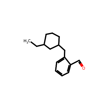 CCC1CCCC(Cc2ccccc2C=O)C1